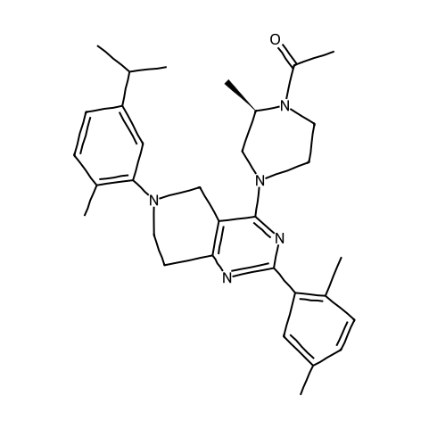 CC(=O)N1CCN(c2nc(-c3cc(C)ccc3C)nc3c2CN(c2cc(C(C)C)ccc2C)CC3)C[C@H]1C